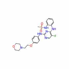 CS(=O)(=O)Nc1ccccc1Nc1nc(Nc2ccc(OCCN3CCOCC3)cc2)ncc1F